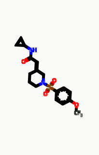 O=C(/C=C1\CCCN(S(=O)(=O)c2ccc(OC(F)(F)F)cc2)C1)NC1CC1